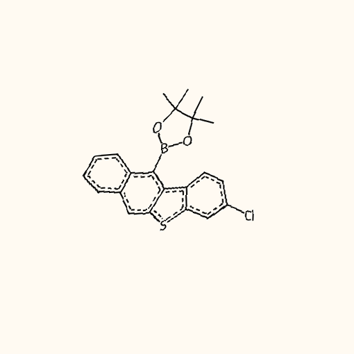 CC1(C)OB(c2c3ccccc3cc3sc4cc(Cl)ccc4c23)OC1(C)C